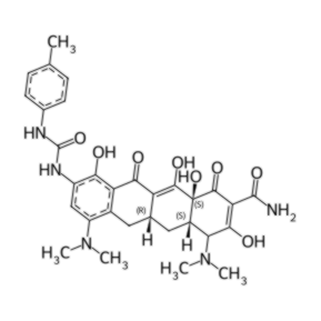 Cc1ccc(NC(=O)Nc2cc(N(C)C)c3c(c2O)C(=O)C2=C(O)[C@]4(O)C(=O)C(C(N)=O)=C(O)C(N(C)C)[C@@H]4C[C@@H]2C3)cc1